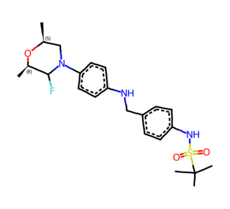 C[C@H]1CN(c2ccc(NCc3ccc(NS(=O)(=O)C(C)(C)C)cc3)cc2)C(F)[C@@H](C)O1